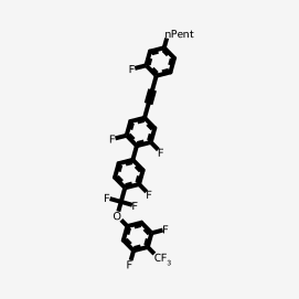 CCCCCc1ccc(C#Cc2cc(F)c(-c3ccc(C(F)(F)Oc4cc(F)c(C(F)(F)F)c(F)c4)c(F)c3)c(F)c2)c(F)c1